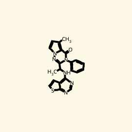 Cc1ccn2nc(C(C)Nc3ncnc4sccc34)n(-c3ccccc3)c(=O)c12